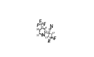 N#CC1(c2cc(C(F)(F)F)ccn2)CC(F)(F)C1